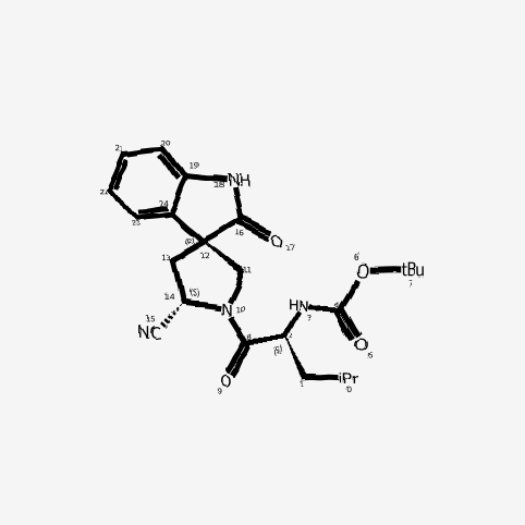 CC(C)C[C@H](NC(=O)OC(C)(C)C)C(=O)N1C[C@]2(C[C@H]1C#N)C(=O)Nc1ccccc12